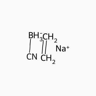 C=C.[BH3-]C#N.[Na+]